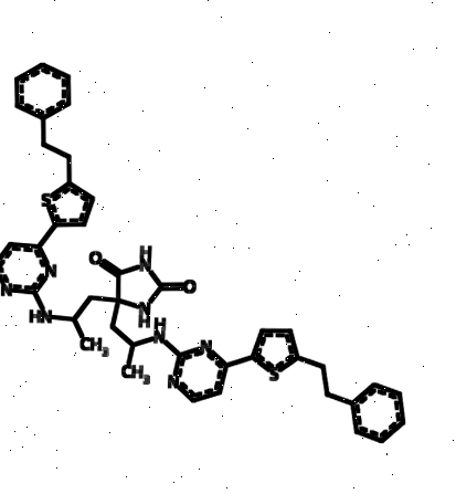 CC(CC1(CC(C)Nc2nccc(-c3ccc(CCc4ccccc4)s3)n2)NC(=O)NC1=O)Nc1nccc(-c2ccc(CCc3ccccc3)s2)n1